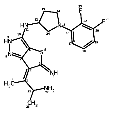 C/C(=C1/C(=N)Sc2c1n[nH]c2NC1CCN(c2cccc(F)c2F)C1)C(C)N